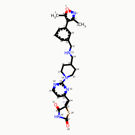 Cc1noc(C)c1-c1cccc(CNCC2CCN(c3nccc(/C=C4/SC(=O)NC4=O)n3)CC2)c1